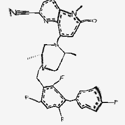 C[C@@H]1CN(c2cc(=O)n(C)c3ccc(C#N)nc23)[C@@H](C)CN1Cc1c(F)cc(F)c(-c2ccc(F)cc2)c1F